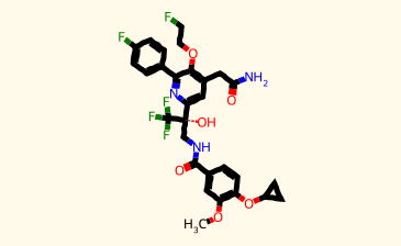 COc1cc(C(=O)NC[C@](O)(c2cc(CC(N)=O)c(OCCF)c(-c3ccc(F)cc3)n2)C(F)(F)F)ccc1OC1CC1